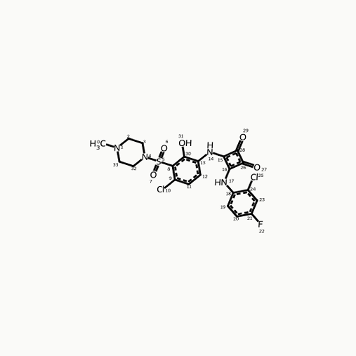 CN1CCN(S(=O)(=O)c2c(Cl)ccc(Nc3c(Nc4ccc(F)cc4Cl)c(=O)c3=O)c2O)CC1